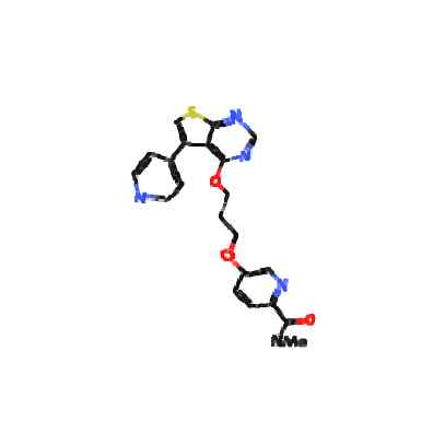 CNC(=O)c1ccc(OCCCOc2ncnc3scc(-c4ccncc4)c23)cn1